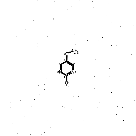 [O]c1ncc(OC(F)(F)F)cn1